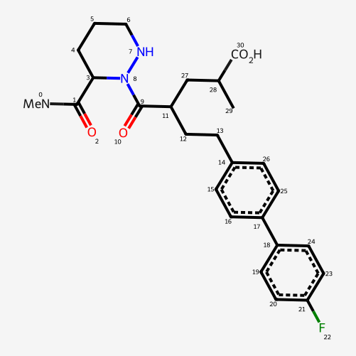 CNC(=O)C1CCCNN1C(=O)C(CCc1ccc(-c2ccc(F)cc2)cc1)CC(C)C(=O)O